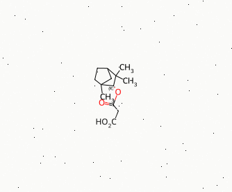 CC12CCC(C1)C(C)(C)[C@@H]2OC(=O)CC(=O)O